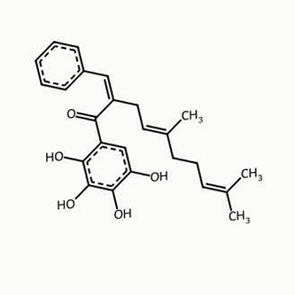 CC(C)=CCC/C(C)=C/CC(=Cc1ccccc1)C(=O)c1cc(O)c(O)c(O)c1O